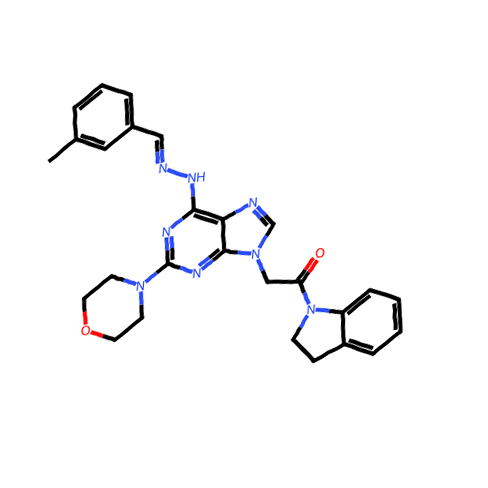 Cc1cccc(C=NNc2nc(N3CCOCC3)nc3c2ncn3CC(=O)N2CCc3ccccc32)c1